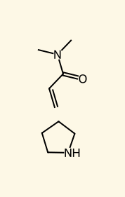 C1CCNC1.C=CC(=O)N(C)C